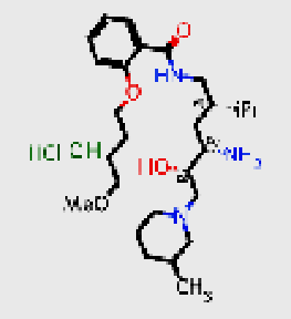 COCCCCOc1ccccc1C(=O)NC[C@@H](C[C@H](N)[C@@H](O)CN1CCCC(C)C1)C(C)C.Cl.Cl